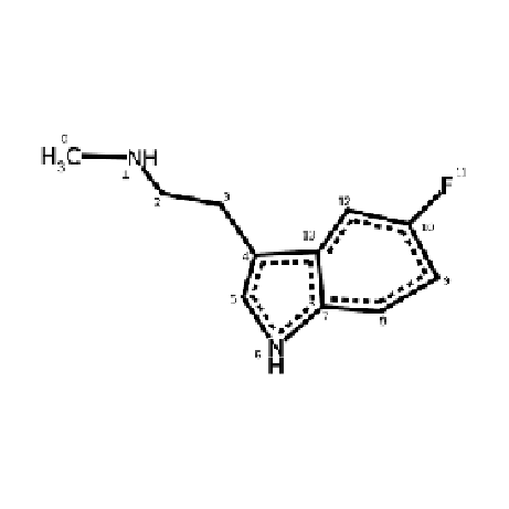 CNCCc1c[nH]c2ccc(F)cc12